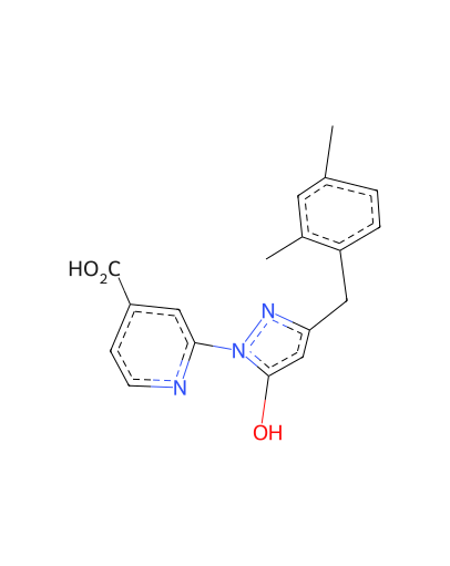 Cc1ccc(Cc2cc(O)n(-c3cc(C(=O)O)ccn3)n2)c(C)c1